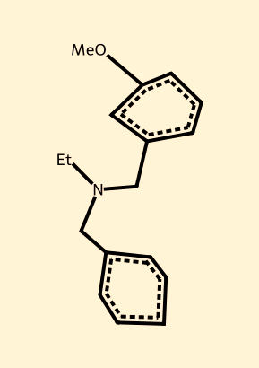 CCN(Cc1ccccc1)Cc1cccc(OC)c1